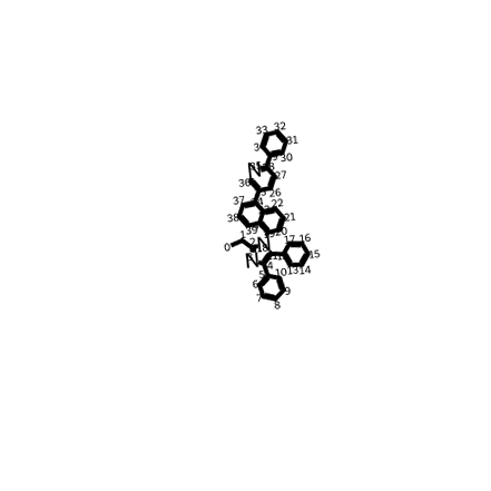 CCc1nc(-c2ccccc2)c(-c2ccccc2)n1-c1cccc2c(-c3ccc(-c4ccccc4)nc3)cccc12